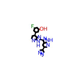 Cn1cc(-c2cnc3[nH]nc(-c4nc5c(-c6cc(O)cc(F)c6)ccnc5[nH]4)c3c2)cn1